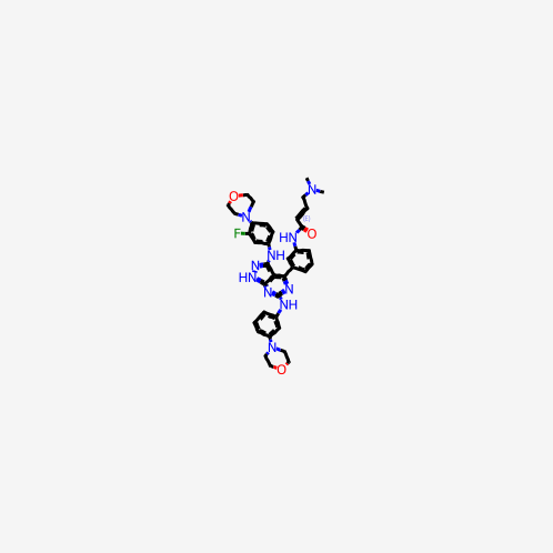 CN(C)C/C=C/C(=O)Nc1cccc(-c2nc(Nc3cccc(N4CCOCC4)c3)nc3[nH]nc(Nc4ccc(N5CCOCC5)c(F)c4)c23)c1